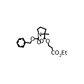 CCOC(=O)CCOC(=O)C1(C)CCCN1C(=O)OCc1ccccc1